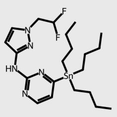 CCC[CH2][Sn]([CH2]CCC)([CH2]CCC)[c]1ccnc(Nc2ccn(CC(F)F)n2)n1